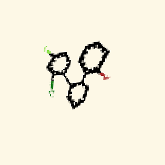 Fc1ccc(-c2ccccc2-c2ccccc2Br)c(Cl)c1